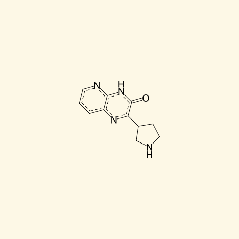 O=c1[nH]c2ncccc2nc1C1CCNC1